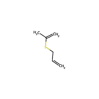 C=CCSC(=C)C